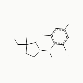 [O-][S+](c1c(Cl)cc(Cl)cc1Cl)N1CCC(O)(CO)C1